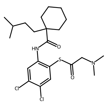 CC(C)CCC1(C(=O)Nc2cc(Cl)c(Cl)cc2SC(=O)CN(C)C)CCCCC1